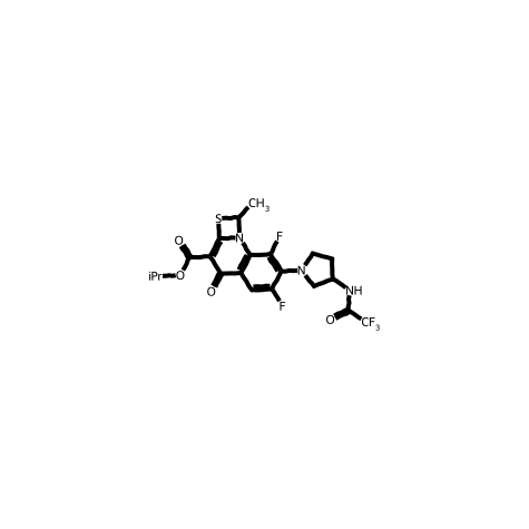 CC(C)OC(=O)c1c2n(c3c(F)c(N4CCC(NC(=O)C(F)(F)F)C4)c(F)cc3c1=O)C(C)S2